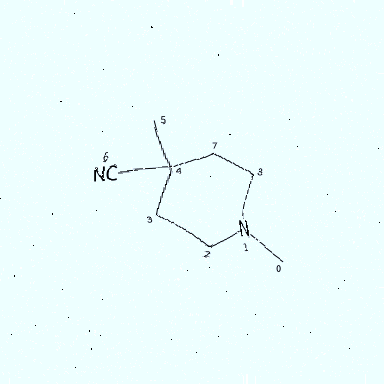 CN1CCC(C)(C#N)CC1